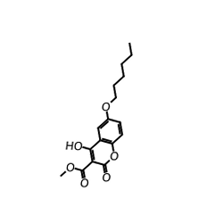 CCCCCCOc1ccc2oc(=O)c(C(=O)OC)c(O)c2c1